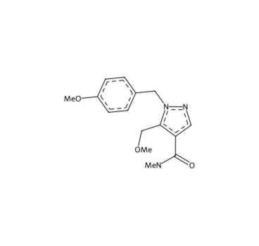 CNC(=O)c1cnn(Cc2ccc(OC)cc2)c1COC